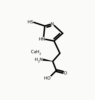 N[C@@H](Cc1cnc(S)[nH]1)C(=O)O.[CaH2]